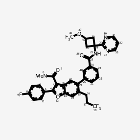 CNC(=O)c1c(-c2ccc(F)cc2)oc2cc(CCC(F)(F)F)c(-c3cccc(C(=O)NC4(c5ncccn5)CC(OC(F)(F)F)C4)c3)cc12